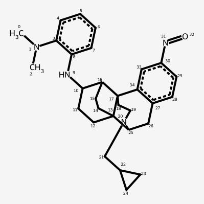 CN(C)c1ccccc1NC1CCC23CCC1C21CCN(CC2CC2)C3Cc2ccc(N=O)cc21